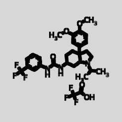 COc1ccc(C23CCC(NC(=O)Nc4cccc(C(F)(F)F)c4)CC2N(C(C)C)CC3)cc1OC.O=C(O)C(F)(F)F